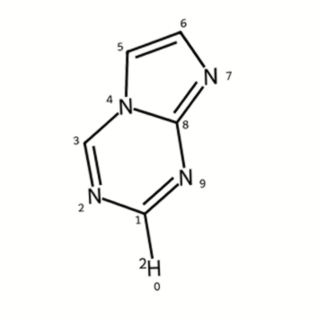 [2H]c1ncn2ccnc2n1